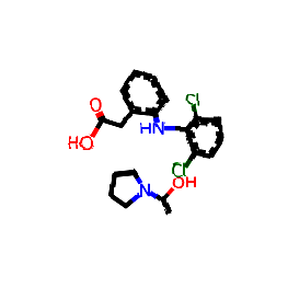 CC(O)N1CCCC1.O=C(O)Cc1ccccc1Nc1c(Cl)cccc1Cl